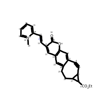 CCOC(=O)C1C2C#Cc3cc4oc(=O)c(/C=C/c5cccc[n+]5C)cc4cc3CCC21